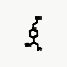 CC(C)CC(c1cc[n+](CCO)cc1)C(C)(C)C